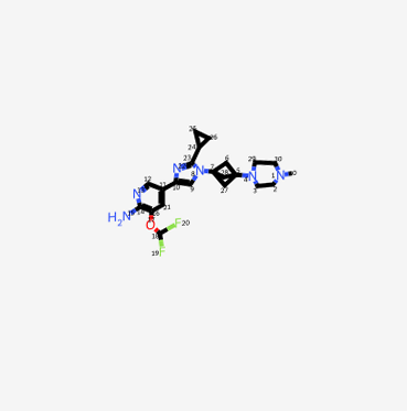 CN1CCN(C23CC(n4cc(-c5cnc(N)c(OC(F)F)c5)nc4C4CC4)(C2)C3)CC1